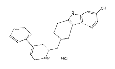 Cl.Oc1ccc2c3c([nH]c2c1)CCC(CC1CC(c2ccccc2)=CCN1)C3